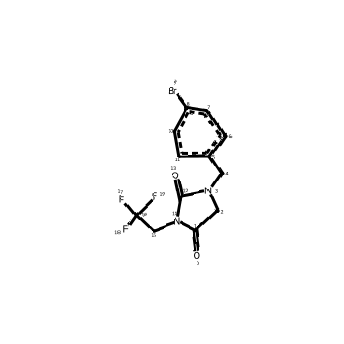 O=C1CN(Cc2ccc(Br)cc2)C(=O)N1CC(F)(F)F